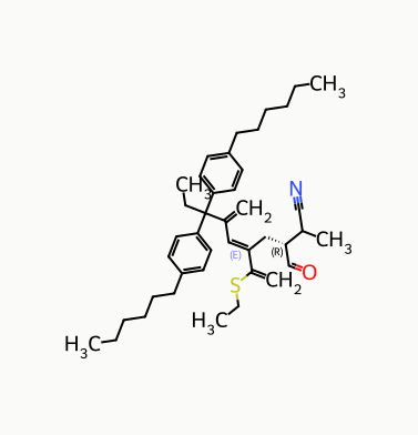 C=C(SCC)/C(=C/C(=C)C(CC)(c1ccc(CCCCCC)cc1)c1ccc(CCCCCC)cc1)C[C@@H](C=O)C(C)C#N